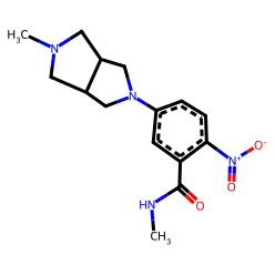 CNC(=O)c1cc(N2CC3CN(C)CC3C2)ccc1[N+](=O)[O-]